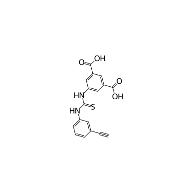 C#Cc1cccc(NC(=S)Nc2cc(C(=O)O)cc(C(=O)O)c2)c1